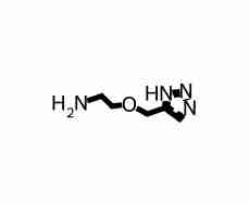 NCCOCc1cnn[nH]1